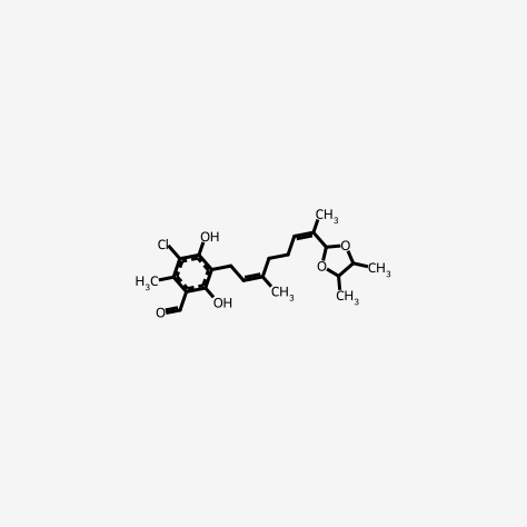 CC(=CCc1c(O)c(Cl)c(C)c(C=O)c1O)CCC=C(C)C1OC(C)C(C)O1